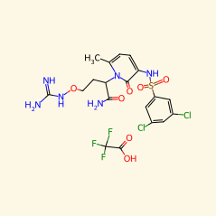 Cc1ccc(NS(=O)(=O)c2cc(Cl)cc(Cl)c2)c(=O)n1C(CCONC(=N)N)C(N)=O.O=C(O)C(F)(F)F